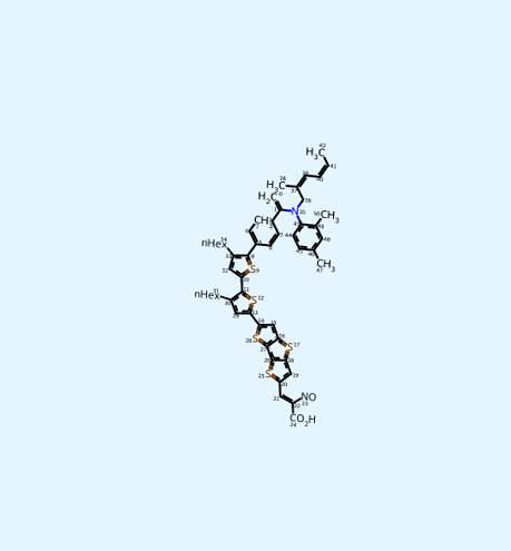 C=C(C/C=C\C(=C/C)c1sc(-c2sc(-c3cc4sc5cc(/C=C(\N=O)C(=O)O)sc5c4s3)cc2CCCCCC)cc1CCCCCC)N(C/C(C)=C\C=C/C)c1ccc(C)cc1C